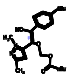 CCCCC(=O)OCO/C(=C(/C#N)c1ccc(C(C)(C)C)cc1)c1cc(C)nn1C